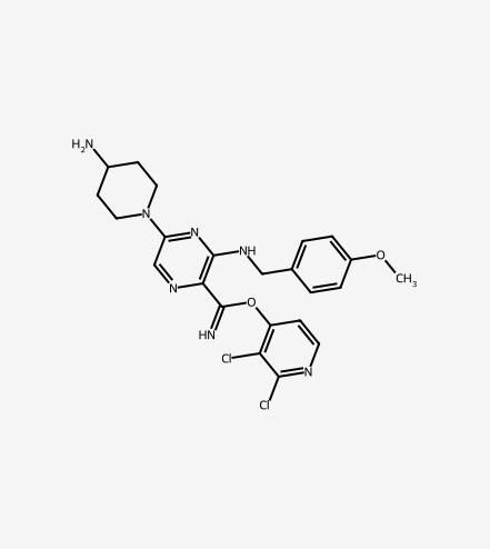 COc1ccc(CNc2nc(N3CCC(N)CC3)cnc2C(=N)Oc2ccnc(Cl)c2Cl)cc1